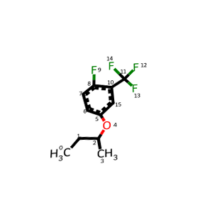 CCC(C)Oc1ccc(F)c(C(F)(F)F)c1